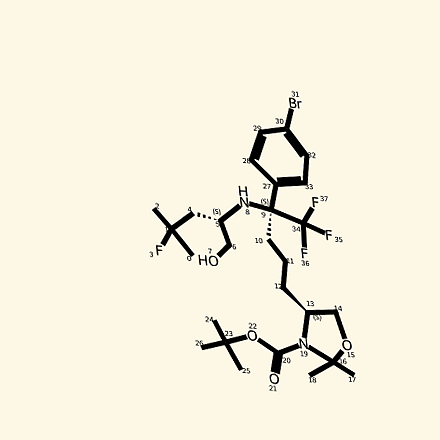 CC(C)(F)C[C@@H](CO)N[C@@](CCC[C@H]1COC(C)(C)N1C(=O)OC(C)(C)C)(c1ccc(Br)cc1)C(F)(F)F